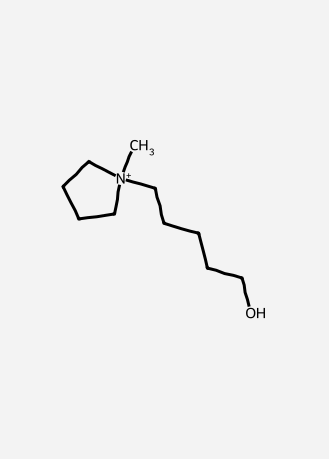 C[N+]1(CCCCCO)CCCC1